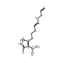 C=CCOC=CCCCc1[nH]nc(C)c1[N+](=O)[O-]